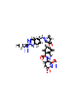 CNc1ncc2cc(CN3CC[C@H](Oc4ccc5c(c4)CN(C4CCC(=O)NC4=O)C5=O)C3)ccc2n1